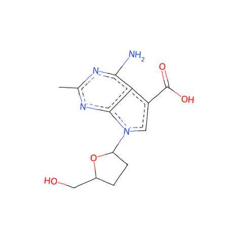 Cc1nc(N)c2c(C(=O)O)cn(C3CCC(CO)O3)c2n1